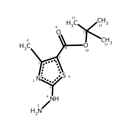 Cc1nc(NN)sc1C(=O)OC(C)(C)C